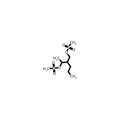 CCCC(COS(C)(=O)=O)C(C)OS(C)(=O)=O